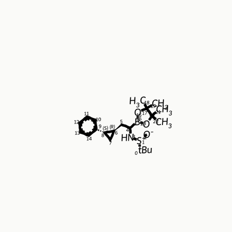 CC(C)(C)[S+]([O-])NC(C[C@H]1C[C@@H]1c1ccccc1)B1OC(C)(C)C(C)(C)O1